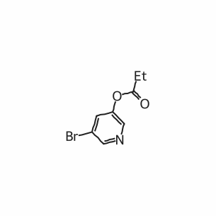 CCC(=O)Oc1cncc(Br)c1